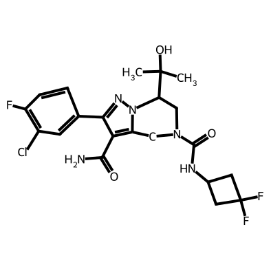 CC(C)(O)C1CN(C(=O)NC2CC(F)(F)C2)Cc2c(C(N)=O)c(-c3ccc(F)c(Cl)c3)nn21